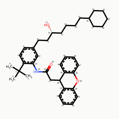 CC(C)(C)c1ccc(CC[C@H](O)CCCCC2CCCCC2)cc1NC(=O)CC1c2ccccc2Oc2ccccc21